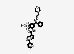 Cl.Cl.O=C(Nc1cc(/C(=N/OCCN2CCOCC2)c2ccccc2)ccc1Cl)c1ccn2c1CSC2c1cccnc1